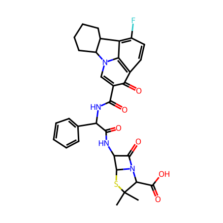 CC1(C)SC2C(NC(=O)C(NC(=O)c3cn4c5c(c(F)ccc5c3=O)C3CCCCC34)c3ccccc3)C(=O)N2C1C(=O)O